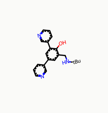 CC(C)(C)NCc1cc(-c2cccnc2)cc(-c2cccnc2)c1O